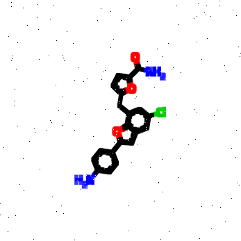 NC(=O)c1ccc(Cc2cc(Cl)cc3cc(-c4ccc(N)cc4)oc23)o1